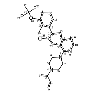 C=CC(=C)N1CCN(c2ncnc3cc(-c4cccc(OC(C)(F)F)c4C)c(Cl)cc23)CC1